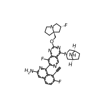 C#Cc1c(F)ccc2cc(N)nc(-c3ncc4c(N5C[C@H]6CC[C@@H](C5)N6)nc(OC[C@@]56CCCN5C[C@H](F)C6)nc4c3F)c12